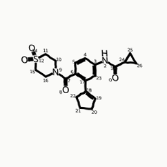 O=C(Nc1ccc(C(=O)N2CCS(=O)(=O)CC2)c(C2=CCCC2)c1)C1CC1